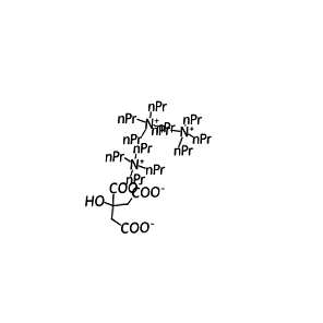 CCC[N+](CCC)(CCC)CCC.CCC[N+](CCC)(CCC)CCC.CCC[N+](CCC)(CCC)CCC.O=C([O-])CC(O)(CC(=O)[O-])C(=O)[O-]